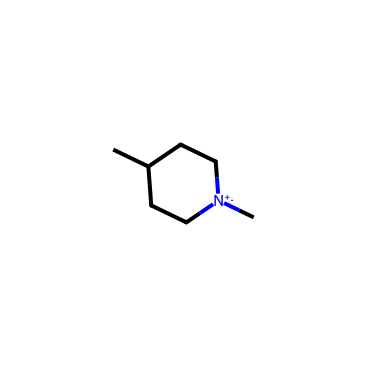 CC1CC[N+](C)CC1